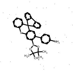 CC1(C)OB(c2cc3c(cc2-c2ccc(N)cc2)C2(c4ccccc4S3)c3ccccc3-c3ccccc32)OC1(C)C